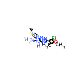 COc1cc(C)c(-c2cn3cc(NCCN)c(N4CCN(SC5CC5)CC4)nc3n2)cc1Cl